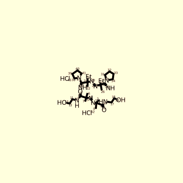 CC(C)(N=NC(C)(C)C(=O)NCCO)C(=O)NCCO.CCC(C)(N=NC(C)(CC)C(=N)N1CCCC1)C(=N)N1CCCC1.Cl.Cl